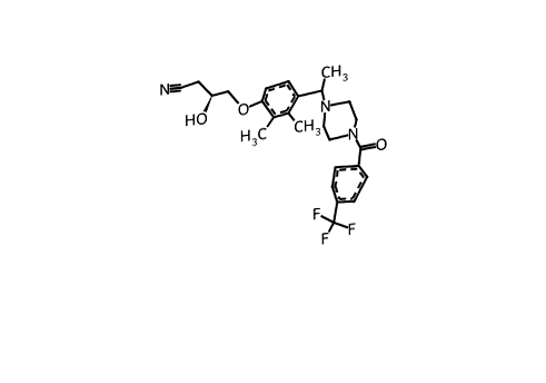 Cc1c(OC[C@@H](O)CC#N)ccc(C(C)N2CCN(C(=O)c3ccc(C(F)(F)F)cc3)CC2)c1C